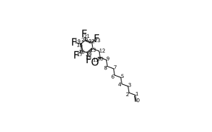 C=CCCCCCCCCC(=O)Cc1c(F)c(F)c(F)c(F)c1F